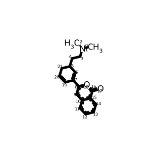 CN(C)CCC1C=C(c2cc3ccccc3c(=O)o2)C=CC1